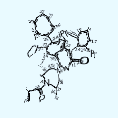 C=CC(=O)N1C[C@H](C)N(c2nc(=O)n(-c3c(C(C)C)cccc3C(C)C)c3nc(-c4ccccc4F)c(Cl)cc23)C[C@H]1C